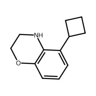 c1cc2c(c(C3CCC3)c1)NCCO2